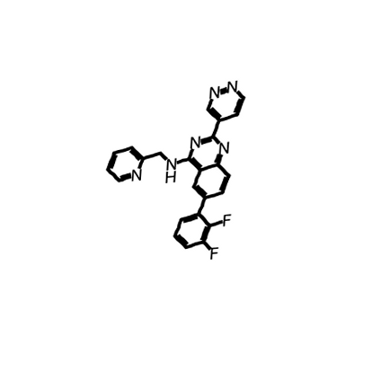 Fc1cccc(-c2ccc3nc(-c4ccnnc4)nc(NCc4ccccn4)c3c2)c1F